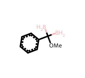 BC(B)(OC)c1ccccc1